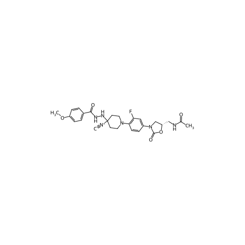 [C-]#[N+]C1(NNC(=O)c2ccc(OC)cc2)CCN(c2ccc(N3C[C@H](CNC(C)=O)OC3=O)cc2F)CC1